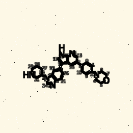 c1cc(N2CCOCC2)ccc1-c1cnc2[nH]cc(-c3ccc4ncn(C5CCCNC5)c4c3)c2c1